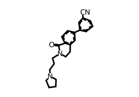 N#Cc1cccc(-c2ccc3c(c2)CCN(CCCN2CCCC2)C3=O)c1